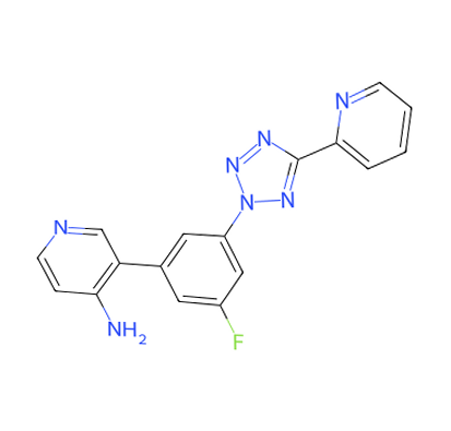 Nc1ccncc1-c1cc(F)cc(-n2nnc(-c3ccccn3)n2)c1